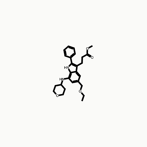 CCOCc1cc(NC2CCOCC2)c2[nH]c(-c3ccccc3)c(CCC(=O)OC)c2c1